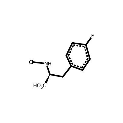 O=C(O)[C@H](Cc1ccc(F)cc1)NCl